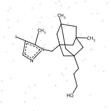 Cc1c(I)cnn1CC12CC3(C)CC(C)(CC(CCCO)(C3)C1)C2